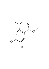 COC(=O)c1cc(Cl)c(Cl)cc1C(C)C